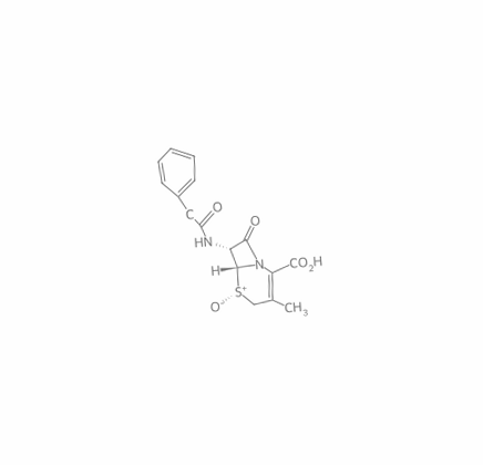 CC1=C(C(=O)O)N2C(=O)[C@@H](NC(=O)Cc3ccccc3)[C@H]2[S@@+]([O-])C1